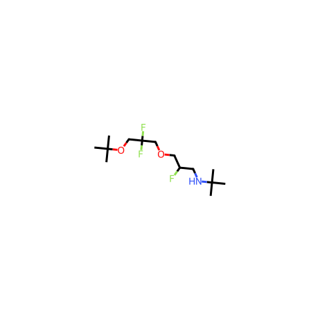 CC(C)(C)NCC(F)COCC(F)(F)COC(C)(C)C